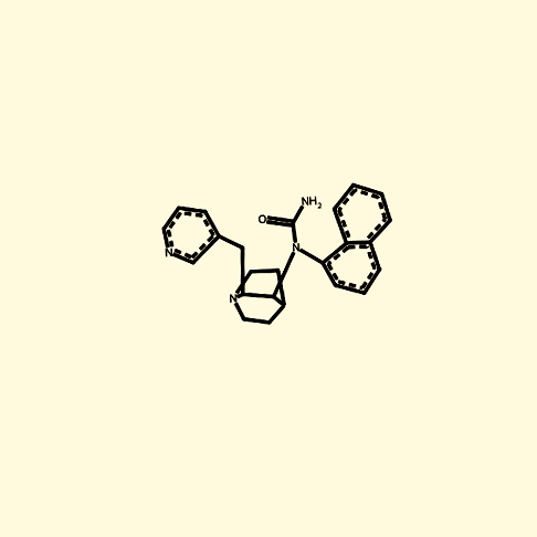 NC(=O)N(c1cccc2ccccc12)C1C2CCN(CC2)C1Cc1cccnc1